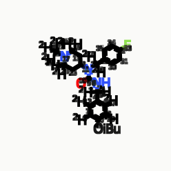 [2H]c1c([2H])c(C([2H])([2H])NC(=O)N(C2CC([2H])([2H])N(C([2H])([2H])[2H])C([2H])([2H])C2)C([2H])([2H])c2ccc(F)cc2)c([2H])c([2H])c1OCC(C)C